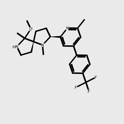 COC1(C)NCC[C@]12CC[C@@H](c1cc(-c3ccc(C(F)(F)F)cc3)cc(C)n1)N2C